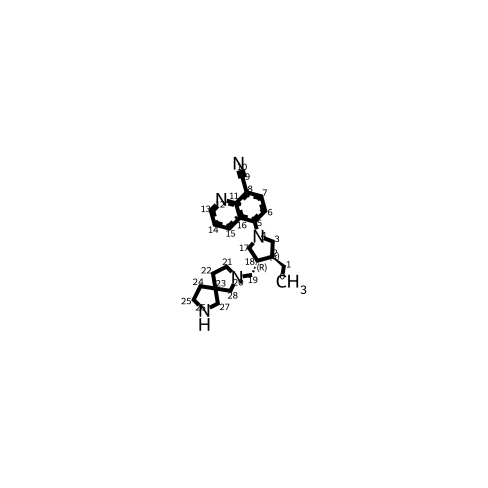 CC[C@@H]1CN(c2ccc(C#N)c3ncccc23)C[C@H]1CN1CCC2(CCNC2)C1